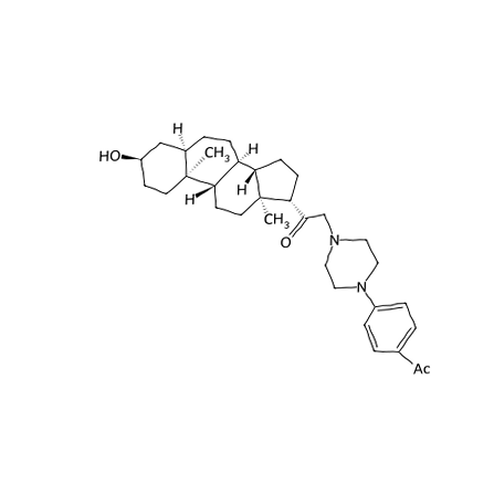 CC(=O)c1ccc(N2CCN(CC(=O)[C@H]3CC[C@H]4[C@@H]5CC[C@@H]6C[C@H](O)CC[C@]6(C)[C@H]5CC[C@]34C)CC2)cc1